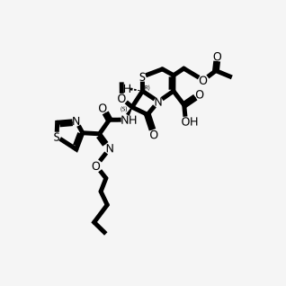 CCCCCON=C(C(=O)N[C@]1(OC)C(=O)N2C(C(=O)O)=C(COC(C)=O)CS[C@@H]21)c1cscn1